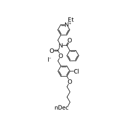 CCCCCCCCCCCCCCOc1ccc(COC(=O)N(Cc2cc[n+](CC)cc2)C(=O)c2ccccc2)cc1Cl.[I-]